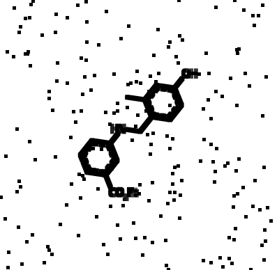 CCOC(=O)c1cccc(NCc2ccc(O)cc2C)c1